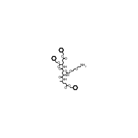 CC(CCC(=O)OCc1ccccc1)NC(=O)C(CCC(=O)NC(CCC(=O)OCc1ccccc1)C(=O)OCc1ccccc1)NC(=O)COCCOCCN